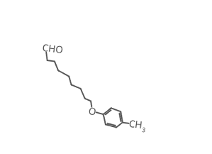 Cc1ccc(OCCCCCCCCC=O)cc1